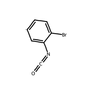 O=C=Nc1c[c]ccc1Br